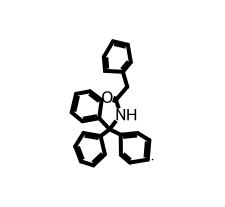 O=C(Cc1ccccc1)NC(c1cc[c]cc1)(c1ccccc1)c1ccccc1